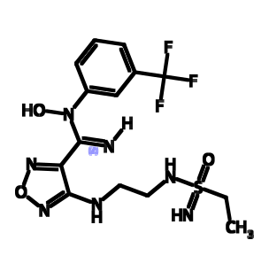 [H]/N=C(/c1nonc1NCCNS(=N)(=O)CC)N(O)c1cccc(C(F)(F)F)c1